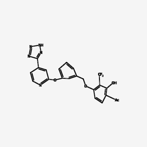 CC(=O)c1ccc(OCc2cccc(Oc3cc(-c4nn[nH]n4)ccn3)c2)c(C(F)(F)F)c1O